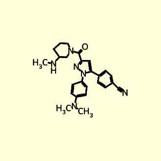 CNC1CCCN(C(=O)c2cc(-c3ccc(C#N)cc3)n(-c3ccc(N(C)C)cc3)n2)C1